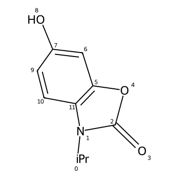 CC(C)n1c(=O)oc2cc(O)ccc21